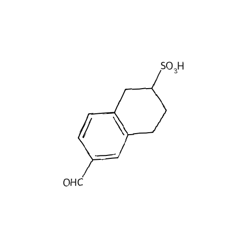 O=Cc1ccc2c(c1)CCC(S(=O)(=O)O)C2